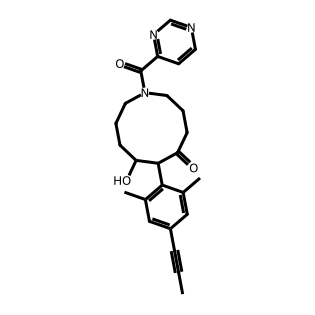 CC#Cc1cc(C)c(C2C(=O)CCCN(C(=O)c3ccncn3)CCCC2O)c(C)c1